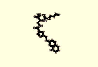 C=CCCOC(=O)N[C@@H](CNC(=O)c1cnn(CCc2ccc3c(n2)NCCC3)c1)C(=O)O